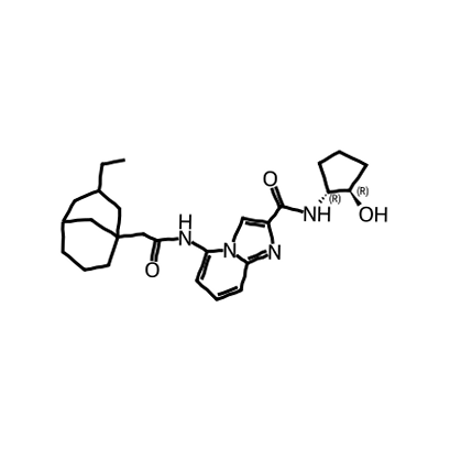 CCC1CC2CCCC(CC(=O)Nc3cccc4nc(C(=O)N[C@@H]5CCC[C@H]5O)cn34)(C1)C2